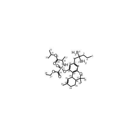 BC(B)(CCC)Cc1cc2c(c(OP(=O)(NC(C)C(=O)OC(C)C)C(=O)OCC)c1)C1C=C(C)CCC1C(C)(C)O2